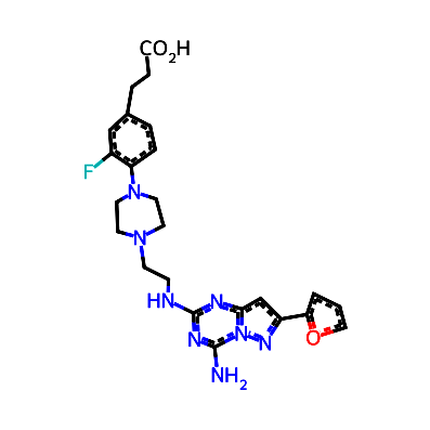 Nc1nc(NCCN2CCN(c3ccc(CCC(=O)O)cc3F)CC2)nc2cc(-c3ccco3)nn12